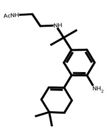 CC(=O)NCCNC(C)(C)c1ccc(N)c(C2=CCC(C)(C)CC2)c1